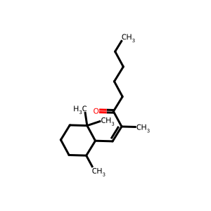 CCCCCC(=O)C(C)=CC1C(C)CCCC1(C)C